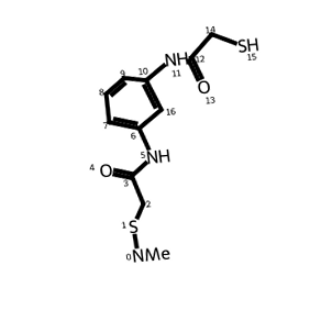 CNSCC(=O)Nc1cccc(NC(=O)CS)c1